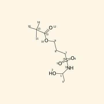 CC(O)NS(=O)(=O)CCCOC(=O)C(C)(C)C